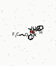 Cc1nsc(N2CC3CC[C@@H](C2)[C@@H]3CNc2nc3c(OCCCC(F)(F)F)cccn3n2)n1